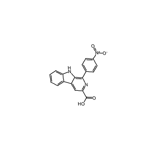 O=C(O)c1cc2c([nH]c3ccccc32)c(-c2ccc([N+](=O)[O-])cc2)n1